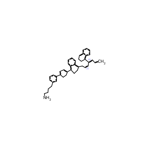 C=C/C=C(\C=C/CC1=c2ccccc2=C(C2=CC=C(c3cccc(CCCCN)c3)CC2)CC1)C1=c2ccccc2=CCC1